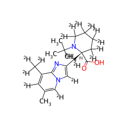 [2H]c1c(C)c([2H])n2c([2H])c(C([2H])([2H])[C@@]3(C(=O)O)N(C(C)(C)C)C([2H])([2H])C([2H])([2H])C([2H])([2H])C3([2H])[2H])nc2c1C([2H])([2H])[2H]